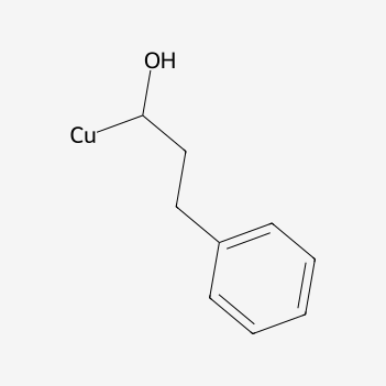 O[CH]([Cu])CCc1ccccc1